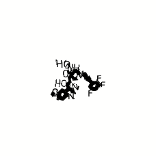 COc1ccc2ncc(N(C)C)c([C@H](O)CCC3(C(=O)NO)CCN(CC#Cc4cc(F)cc(F)c4F)CC3)c2c1